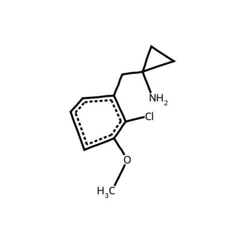 COc1cccc(CC2(N)CC2)c1Cl